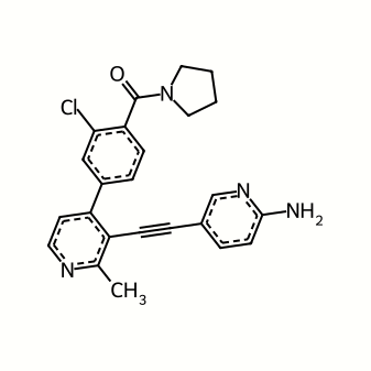 Cc1nccc(-c2ccc(C(=O)N3CCCC3)c(Cl)c2)c1C#Cc1ccc(N)nc1